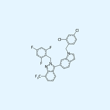 Fc1cc(F)c(Cn2nc3c(C(F)(F)F)cccc3c2-c2ccc3ccn(Cc4ccc(Cl)cc4Cl)c3c2)c(F)c1